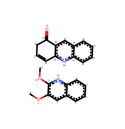 COc1cc2ccccc2nc1OC.O=C1CC=Cc2nc3ccccc3cc21